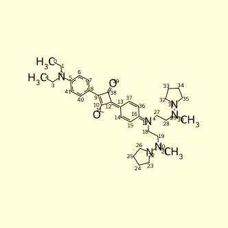 CCN(CC)c1ccc(C2=C([O-])C(=C3C=CC(=[N+](CCN(C)N4CCCC4)CCN(C)N4CCCC4)C=C3)C2=O)cc1